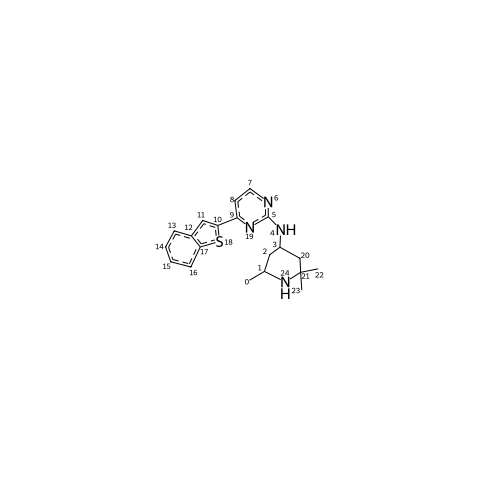 CC1CC(Nc2nccc(-c3cc4ccccc4s3)n2)CC(C)(C)N1